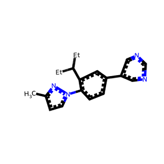 CCC(CC)c1cc(-c2cncnc2)ccc1-n1ccc(C)n1